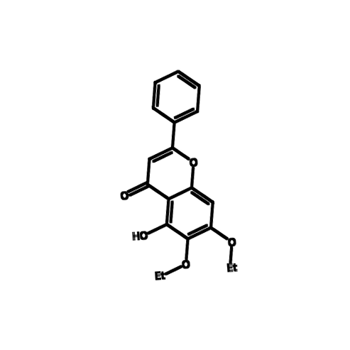 CCOc1cc2oc(-c3ccccc3)cc(=O)c2c(O)c1OCC